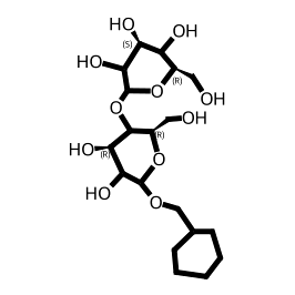 OC[C@H]1OC(OC2[C@H](O)C(O)C(OCC3CCCCC3)O[C@@H]2CO)C(O)[C@@H](O)C1O